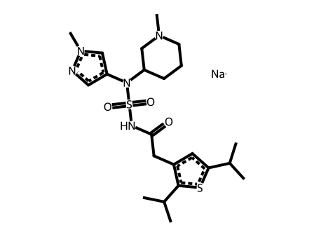 CC(C)c1cc(CC(=O)NS(=O)(=O)N(c2cnn(C)c2)C2CCCN(C)C2)c(C(C)C)s1.[Na]